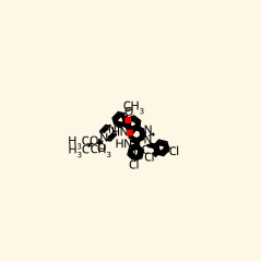 COc1ccc(N2CCN(C(=O)OC(C)(C)C)CC2)c(NC(=O)c2[nH]c3cc(Cl)ccc3c2-c2c(-c3ccccc3)ncn2[C@@H](C)c2ccc(Cl)cc2Cl)c1